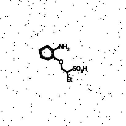 CCC(COc1ccccc1N)S(=O)(=O)O